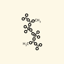 Cc1ccc(N(c2ccc(N(c3ccccc3)c3ccccc3)cc2)c2ccc(-n3c(-c4ccccc4)c(-c4ccccc4)c4cc(-c5ccc6c(c5)c(-c5ccccc5)c(-c5ccccc5)n6-c5ccc(N(c6ccc(C)cc6)c6ccc(N(c7ccccc7)c7ccccc7)cc6)cc5)ccc43)cc2)cc1